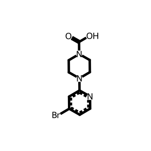 O=C(O)N1CCN(c2cc(Br)ccn2)CC1